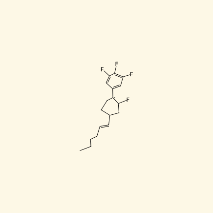 CCCC/C=C/C1CC[C](c2cc(F)c(F)c(F)c2)C(F)C1